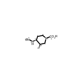 CC(C)(C)N[C@H]1CCN(C(=O)O)C[C@H]1F